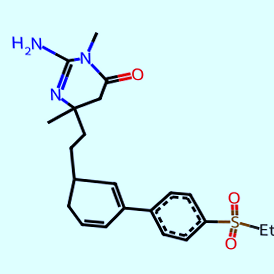 CCS(=O)(=O)c1ccc(C2=CC(CCC3(C)CC(=O)N(C)C(N)=N3)CC=C2)cc1